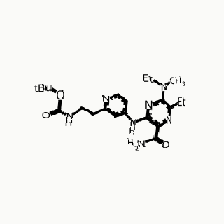 CCc1nc(C(N)=O)c(Nc2ccnc(CCNC(=O)OC(C)(C)C)c2)nc1N(C)CC